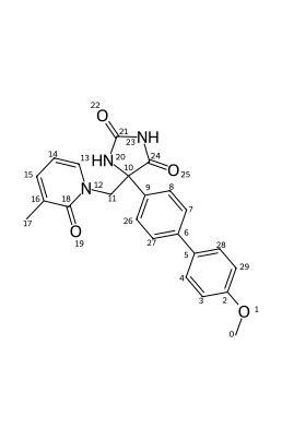 COc1ccc(-c2ccc(C3(Cn4cccc(C)c4=O)NC(=O)NC3=O)cc2)cc1